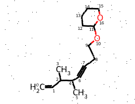 C=CC(C)C(C)C#CCCOC1CCCCO1